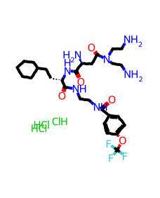 Cl.Cl.Cl.NCCN(CCN)C(=O)C[C@H](N)C(=O)N[C@@H](CCC1CCCCC1)C(=O)NCCNC(=O)c1ccc(OC(F)(F)F)cc1